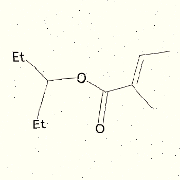 CC=C(C)C(=O)OC(CC)CC